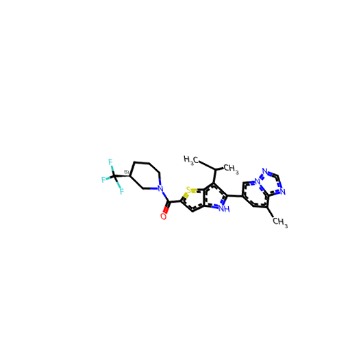 Cc1cc(-c2[nH]c3cc(C(=O)N4CCC[C@H](C(F)(F)F)C4)sc3c2C(C)C)cn2ncnc12